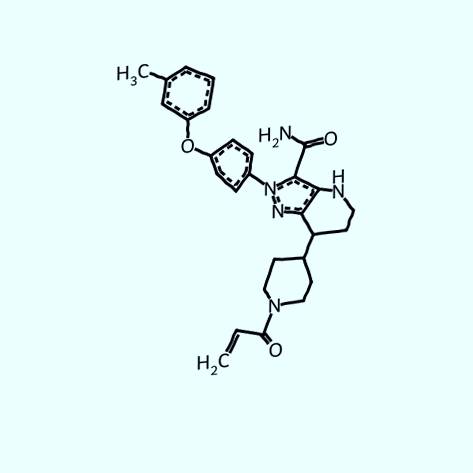 C=CC(=O)N1CCC(C2CCNc3c2nn(-c2ccc(Oc4cccc(C)c4)cc2)c3C(N)=O)CC1